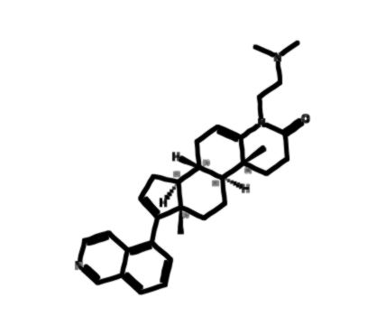 CN(C)CCN1C(=O)CC[C@@]2(C)C1=CC[C@@H]1[C@@H]2CC[C@]2(C)C(c3cccc4cnccc34)=CC[C@@H]12